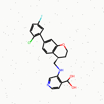 OC(O)c1ccncc1NC[C@@H]1CCOc2cc(-c3cc(F)ccc3Cl)ccc21